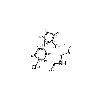 CCCNC=O.COc1c(C)cnn1-c1ccc(Cl)cc1